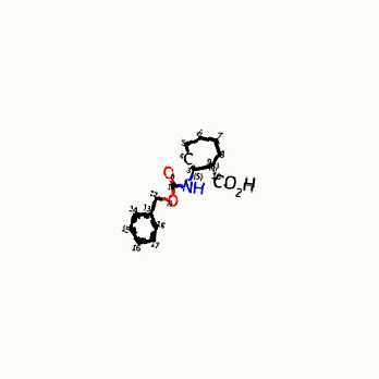 O=C(N[C@H]1CCCCC[C@@H]1C(=O)O)OCc1ccccc1